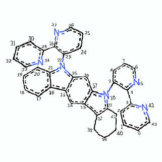 c1ccc(-c2ncccc2-n2c3c(c4cc5c6ccccc6n(-c6cccnc6-c6ccccn6)c5cc42)CCCC3)nc1